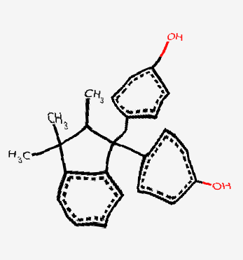 CC1C(C)(C)c2ccccc2C1(c1ccc(O)cc1)c1ccc(O)cc1